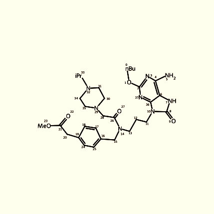 CCCCOc1nc(N)c2[nH]c(=O)n(CCCN(Cc3ccc(CC(=O)OC)cc3)C(=O)CN3CCN(C(C)C)CC3)c2n1